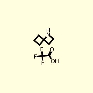 C1CC2(C1)CCN2.O=C(O)C(F)(F)F